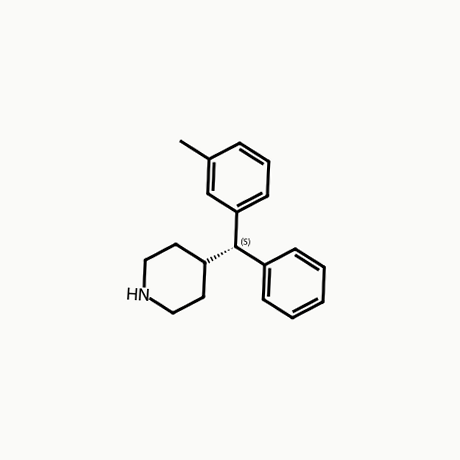 Cc1cccc([C@H](c2ccccc2)C2CCNCC2)c1